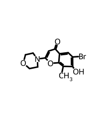 Cc1c(O)c(Br)cc2c(=O)cc(N3CCOCC3)oc12